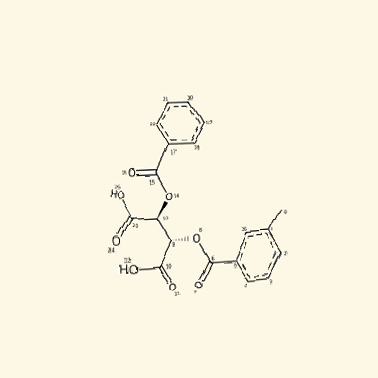 Cc1cccc(C(=O)O[C@H](C(=O)O)[C@H](OC(=O)c2ccccc2)C(=O)O)c1